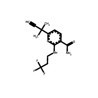 C#CC(C)(C)c1ccc(C(N)=O)c(NCCC(F)(F)F)n1